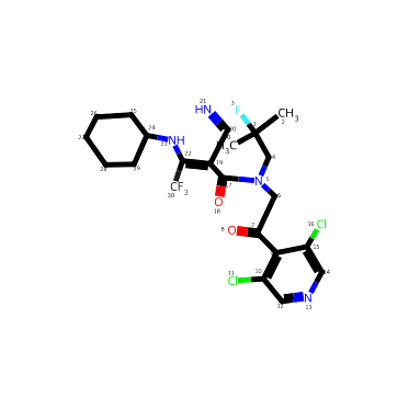 CC(C)(F)CN(CC(=O)c1c(Cl)cncc1Cl)C(=O)/C(C=N)=C(/NC1CCCCC1)C(F)(F)F